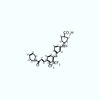 O=C(O)C1CCC(Nc2cccc(Sc3ccc(C=CC(=O)N4CC=CCC4)c(C(F)(F)F)c3C(F)(F)F)c2)CC1